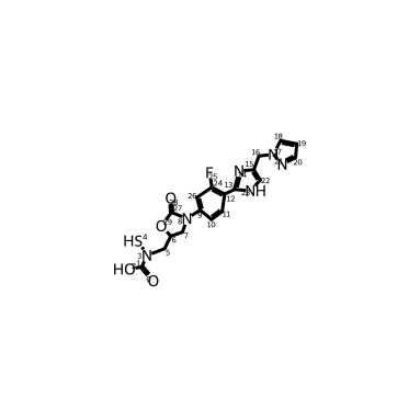 O=C(O)N(S)CC1CN(c2ccc(-c3nc(Cn4cccn4)c[nH]3)c(F)c2)C(=O)O1